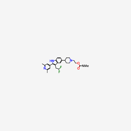 CNC(=O)OCCN1CCC(c2ccc3[nH]c(-c4cc(C)nc(C)c4)c(CC(F)F)c3c2)CC1